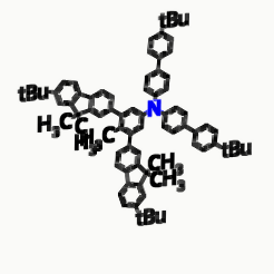 Cc1c(-c2ccc3c(c2)C(C)(C)c2cc(C(C)(C)C)ccc2-3)cc(N(c2ccc(-c3ccc(C(C)(C)C)cc3)cc2)c2ccc(-c3ccc(C(C)(C)C)cc3)cc2)cc1-c1ccc2c(c1)C(C)(C)c1cc(C(C)(C)C)ccc1-2